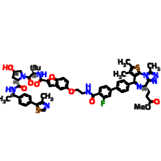 COC(=O)CC[C@@H]1N=C(c2ccc(-c3ccc(C(=O)NCCOc4ccc5oc(C(=O)N[C@H](C(=O)N6C[C@H](O)C[C@H]6C(=O)N[C@@H](C)c6ccc(-c7scnc7C)cc6)C(C)(C)C)cc5c4)c(F)c3)cc2)c2c(sc(C)c2C)-n2c(C)nnc21